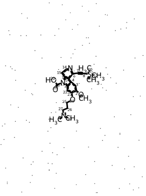 COc1cc2c3c(C#C[Si](C)(C)C)nccc3n(C(=O)O)c2cc1OCCCN(C)C